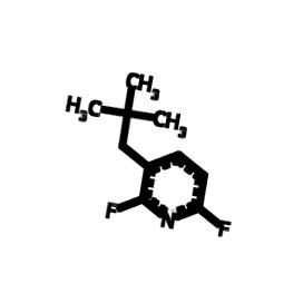 CC(C)(C)Cc1ccc(F)nc1F